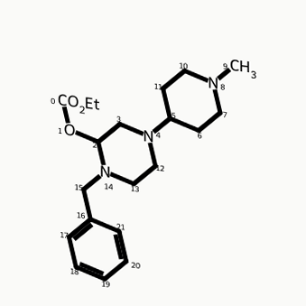 CCOC(=O)OC1CN(C2CCN(C)CC2)CCN1Cc1ccccc1